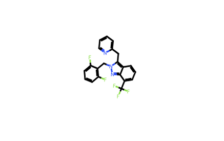 Fc1cccc(F)c1Cn1nc2c(C(F)(F)F)cccc2c1Cc1ccccn1